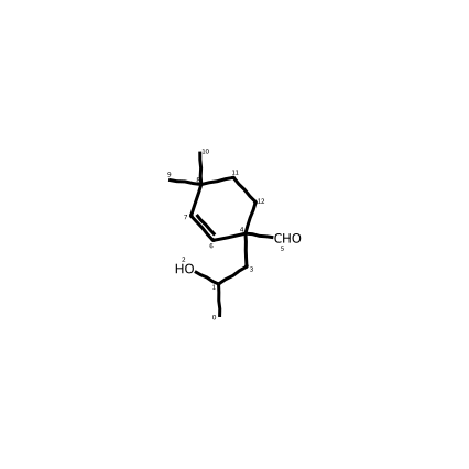 CC(O)CC1(C=O)C=CC(C)(C)CC1